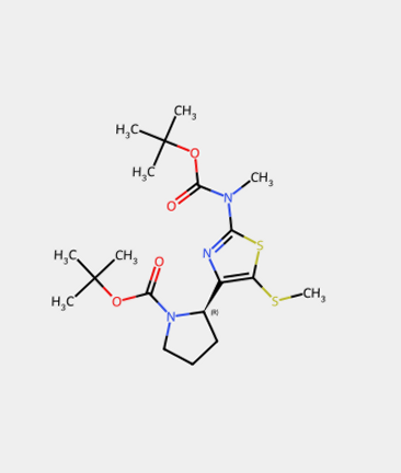 CSc1sc(N(C)C(=O)OC(C)(C)C)nc1[C@H]1CCCN1C(=O)OC(C)(C)C